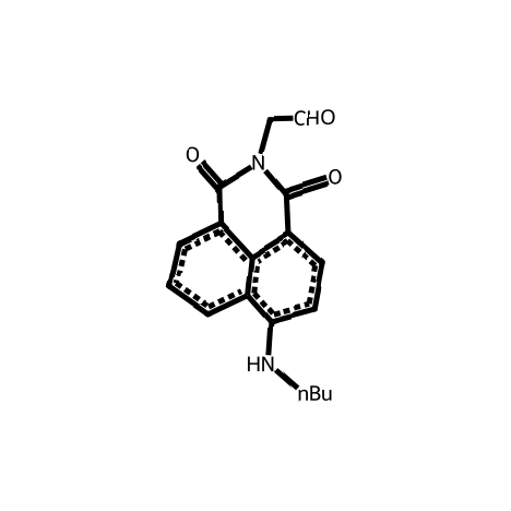 CCCCNc1ccc2c3c(cccc13)C(=O)N(CC=O)C2=O